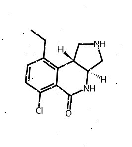 CCc1ccc(Cl)c2c1[C@@H]1CNC[C@H]1NC2=O